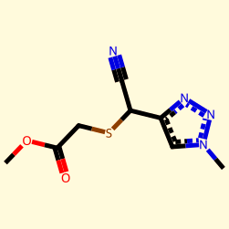 COC(=O)CSC(C#N)c1cn(C)nn1